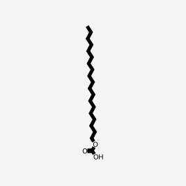 CCCCCCCCCCCCCCCCCCCOC(=O)O